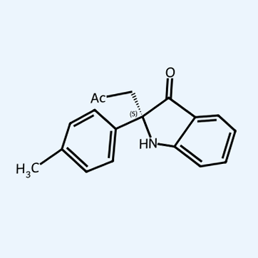 CC(=O)C[C@@]1(c2ccc(C)cc2)Nc2ccccc2C1=O